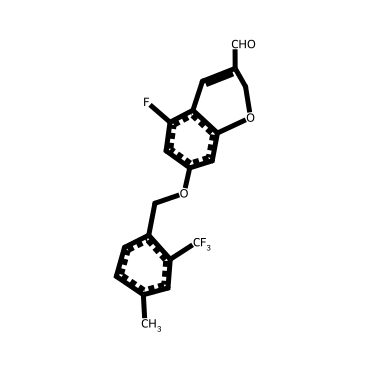 Cc1ccc(COc2cc(F)c3c(c2)OCC(C=O)=C3)c(C(F)(F)F)c1